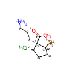 Cl.NCCC[C@@]1(C(=O)O)CCC[C@@H]1S